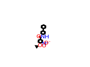 O=C(Nc1ccc(-c2ccccc2)cc1)c1ccc(OC2CC2)c([N+](=O)[O-])c1